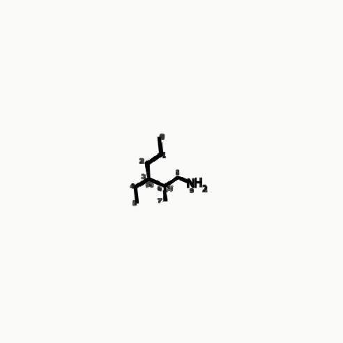 CCC[C@H](CC)[C@H](C)CN